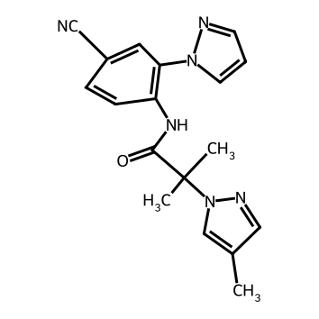 Cc1cnn(C(C)(C)C(=O)Nc2ccc(C#N)cc2-n2cccn2)c1